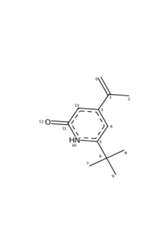 C=C(C)c1cc(C(C)(C)C)[nH]c(=O)c1